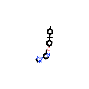 Cc1ccc(C(C)(C)c2ccc(OCc3cc(-n4nccn4)ccn3)cc2)cc1